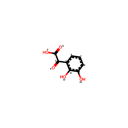 O=C(O)C(=O)c1cccc(O)c1O